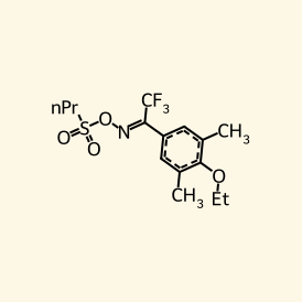 CCCS(=O)(=O)ON=C(c1cc(C)c(OCC)c(C)c1)C(F)(F)F